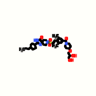 Cc1cc(C(=O)N2CCC(OC[C@H](O)CO)CC2)cc(C)c1C=CS(=O)(=O)N1CCC2(CC1)N=C(C1CCC(CCC(F)(F)F)CC1)NC2=O